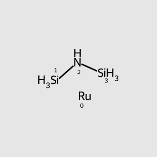 [Ru].[SiH3]N[SiH3]